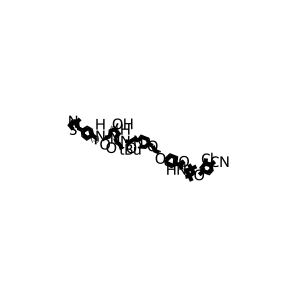 Cc1ncsc1-c1ccc([C@H](C)NC(=O)C2C[C@@H](O)CN2C(=O)C(NC(=O)CN2CCC(OCCOc3ccc(C(=O)N[C@H]4C(C)(C)[C@H](Oc5ccc(C#N)c(Cl)c5)C4(C)C)cc3)CC2)C(C)(C)C)cc1